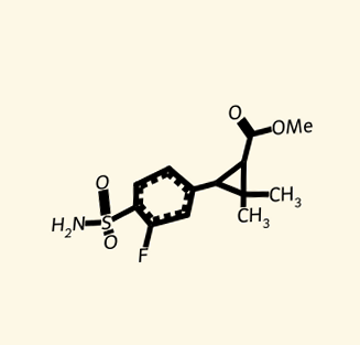 COC(=O)C1C(c2ccc(S(N)(=O)=O)c(F)c2)C1(C)C